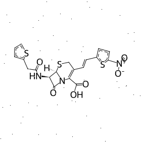 O=C(Cc1cccs1)N[C@@H]1C(=O)N2C(C(=O)O)=C(/C=C/c3ccc([N+](=O)[O-])s3)CS[C@H]12